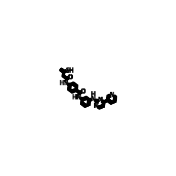 C=C(S)CC(=O)Nc1ccc(C(=O)Nc2cccc(Nc3nccc(-c4cccnc4)n3)c2)cc1